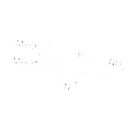 COc1ccc(-c2cncc(-c3ccc(N)cc3F)c2)cc1OC